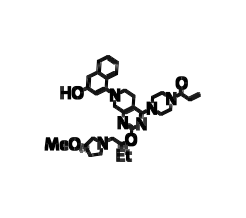 C=CC(=O)N1CCN(c2nc(O[C@H](CC)CN3CC[C@H](OC)C3)nc3c2CCN(c2cc(O)cc4ccccc24)C3)CC1